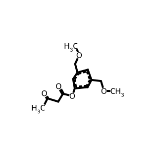 COCc1cc(COC)cc(OC(=O)CC(C)=O)c1